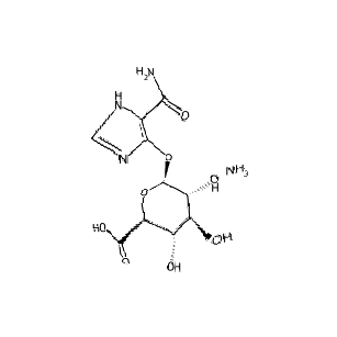 N.NC(=O)c1[nH]cnc1O[C@@H]1O[C@H](C(=O)O)[C@@H](O)[C@H](O)[C@H]1O